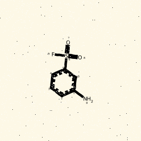 Nc1cccc(S(=O)(=O)F)c1